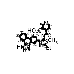 CCC1=S(C)C(=NC(=O)c2ccncc2C(=O)O)N(c2ccc(-c3ccccc3-c3nnn[nH]3)cc2)N1